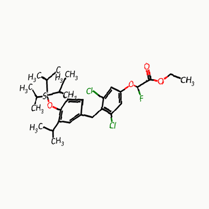 CCOC(=O)C(F)Oc1cc(Cl)c(Cc2ccc(O[Si](C(C)C)(C(C)C)C(C)C)c(C(C)C)c2)c(Cl)c1